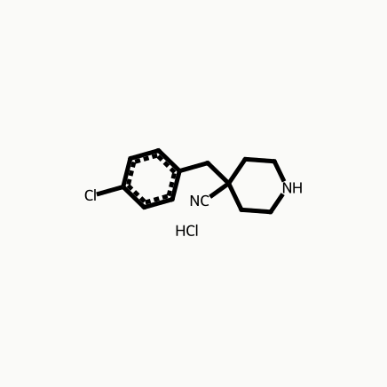 Cl.N#CC1(Cc2ccc(Cl)cc2)CCNCC1